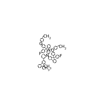 C=Cc1ccc(Oc2ccc(C3(c4ccc(F)cc4)C4=CC(N(C5=CCC=CC(c6ccc7c(c6)-c6ccccc6C7(C)C)=C5)c5cc[n+]6c(c5)C(c5ccc(F)cc5)(c5ccc(Oc7ccc(C=C)cc7)cc5)c5ccccc5-6)=CCC4c4ccccc43)cc2)cc1